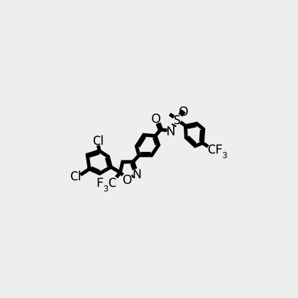 CS(=O)(=NC(=O)c1ccc(C2=NOC(c3cc(Cl)cc(Cl)c3)(C(F)(F)F)C2)cc1)c1ccc(C(F)(F)F)cc1